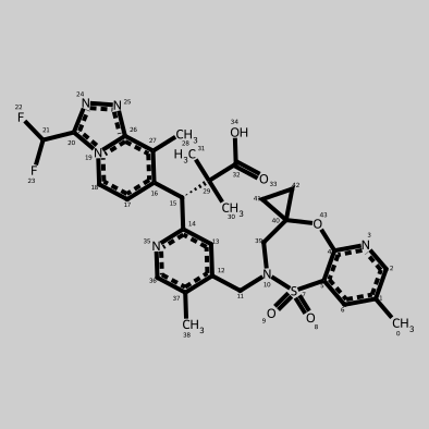 Cc1cnc2c(c1)S(=O)(=O)N(Cc1cc([C@H](c3ccn4c(C(F)F)nnc4c3C)C(C)(C)C(=O)O)ncc1C)CC1(CC1)O2